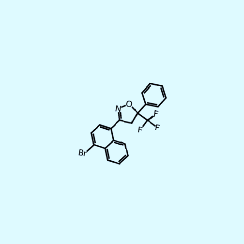 FC(F)(F)C1(c2ccccc2)CC(c2ccc(Br)c3ccccc23)=NO1